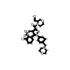 O=CC1COCCN1C(=O)c1nn(-c2ccc(CN3CCOCC3)cc2)c2c1CS(=O)(=O)c1c(Cl)cccc1-2